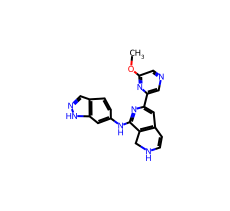 COc1cncc(-c2cc3c(c(Nc4ccc5cn[nH]c5c4)n2)CNC=C3)n1